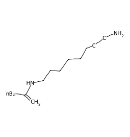 C=C(CCCC)NCCCCCCCCN